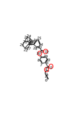 C=CCOC(=O)c1ccc(OC(=O)c2cccc(C34CC5CC(CC(C5)C3)C4)c2)cc1